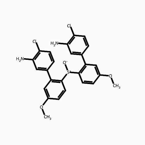 COc1ccc([S+]([O-])c2ccc(OC)cc2-c2ccc(Cl)c(N)c2)c(-c2ccc(Cl)c(N)c2)c1